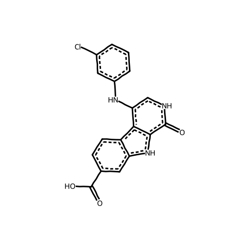 O=C(O)c1ccc2c(c1)[nH]c1c(=O)[nH]cc(Nc3cccc(Cl)c3)c12